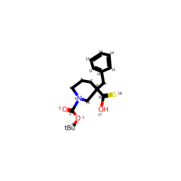 CC(C)(C)OC(=O)N1CCCC(Cc2ccccc2)(C(O)=S)C1